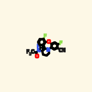 N#Cc1cc2c(cc1F)Oc1c(F)cccc1[C@@H]1[C@H](NC(=O)C(F)(F)F)CCCN21